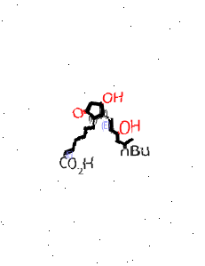 CCCCC(C)CC(O)/C=C/[C@H]1C(O)CC(=O)[C@@H]1CCCC/C=C/C(=O)O